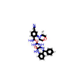 C[C@@H]1COCCN1c1cc(C#N)ccc1C(=N)OC(=N)N[C@H]1N=C(c2ccccc2)c2ccccc2NC1=O